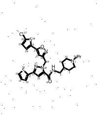 CC(C)N1CCC(CNC(=O)c2cc(-c3cccs3)nn2Cc2cc(-c3ccc(Cl)s3)on2)CC1